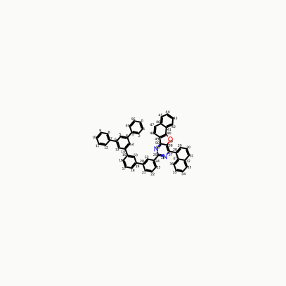 c1ccc(-c2cc(-c3ccccc3)cc(-c3cccc(-c4cccc(-c5nc(-c6cccc7ccccc67)c6oc7c8ccccc8ccc7c6n5)c4)c3)c2)cc1